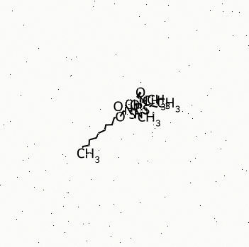 CCCCCCCCCCOC(=O)N(C)SN(C)P(=O)(SC(C)CC)N(C)C=O